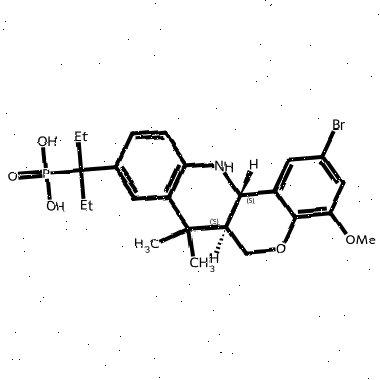 CCC(CC)(c1ccc2c(c1)C(C)(C)[C@@H]1COc3c(OC)cc(Br)cc3[C@H]1N2)P(=O)(O)O